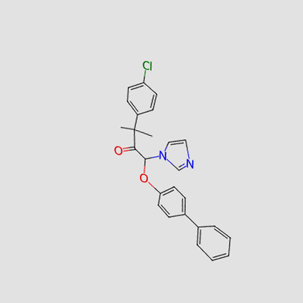 CC(C)(C(=O)C(Oc1ccc(-c2ccccc2)cc1)n1ccnc1)c1ccc(Cl)cc1